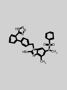 CCCCc1nc2c(C)cc(N(C)S(=O)(=O)c3ccccc3)cc2n1Cc1ccc(-c2ccccc2-c2nnn[nH]2)cc1